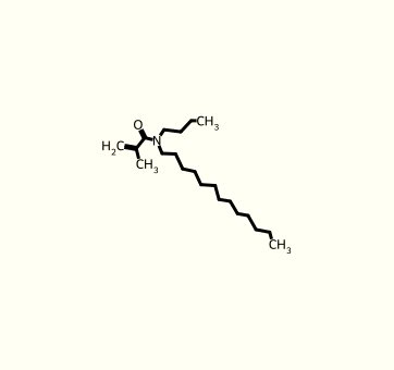 C=C(C)C(=O)N(CCCC)CCCCCCCCCCCCC